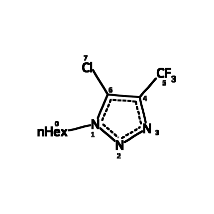 CCCCCCn1nnc(C(F)(F)F)c1Cl